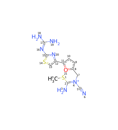 CSC(N)=[N+](C#N)Cc1ccc(-c2csc(N=C(N)N)n2)o1